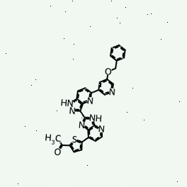 CC(=O)c1ccc(-c2ccnc3[nH]c(-c4n[nH]c5ccc(-c6cncc(OCc7ccccc7)c6)nc45)nc23)s1